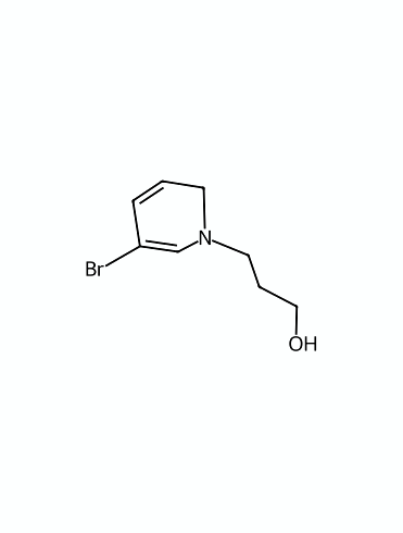 OCCCN1C=C(Br)C=CC1